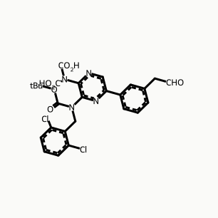 CC(C)(C)OC(=O)N(Cc1c(Cl)cccc1Cl)c1nc(-c2cccc(CC=O)c2)cnc1N(C(=O)O)C(=O)O